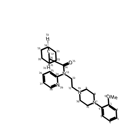 COc1ccccc1N1CCN(CCN(C(=O)C2C[C@H]3CC[C@@H]2CC3)c2ccccn2)CC1